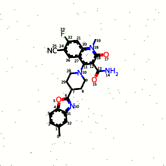 Cc1ccc2oc(C3CCN(c4c(C(N)=O)c(=O)n(C)c5cc(F)c(C#N)cc45)CC3)nc2c1